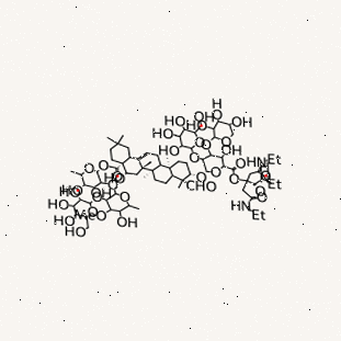 CCNC(=O)CC(CC(=O)NCC)(OC(=O)C1OC(O[C@H]2CC[C@@]3(C)C(CC[C@]4(C)C3CC=C3C5CC(C)(C)CC[C@]5(C(=O)OC5OC(C)C(O)C(O)C5OC5OC(C)C(O)C(OC)C5OC5OC(CO)C(O)C(O)C5O)[C@H](O)C[C@]34C)[C@]2(C)C=O)C(OC2OC(CO)C(O)C(O)C2O)C(OC2OCC(O)C(O)C2O)C1O)C(=O)NCC